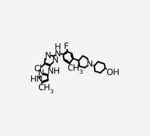 Cc1cc(Nc2nc(Nc3cc(C)c(C4CCN([C@H]5CC[C@H](O)CC5)CC4)cc3F)ncc2Cl)n[nH]1